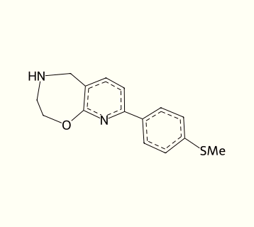 CSc1ccc(-c2ccc3c(n2)OCCNC3)cc1